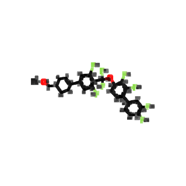 CCOCC1CC=C(c2cc(F)c(C(F)(F)Oc3ccc(-c4ccc(F)c(F)c4)c(F)c3F)c(F)c2)CC1